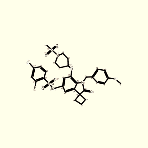 COc1ccc(CN2C(=O)C3(CCC3)c3cc(NS(=O)(=O)c4ccc(Cl)cc4F)cc(OC4CCN(S(C)(=O)=O)CC4)c32)cc1